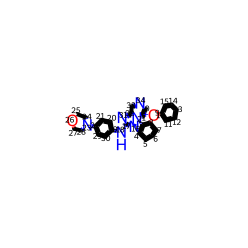 C1=C[N+]2(c3ccccc3Oc3ccccc3)N=C(Nc3ccc(N4CCOCC4)cc3)N=C2C=N1